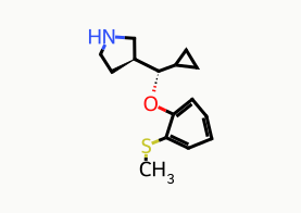 CSc1ccccc1O[C@@H](C1CC1)[C@H]1CCNC1